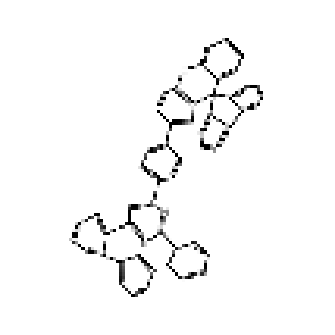 C1=CCC(c2nc(-c3ccc(-c4ccc5c(c4)C4(c6ccccc6O5)c5ccccc5-c5ccccc54)cc3)cc(-c3ccccc3-c3ccccc3)n2)C=C1